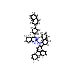 c1ccc2c(c1)-c1cccc3c1c-2cc1c3c2ccc3ccccc3c2n1-c1nc(-c2ccc(-c3ccc4ccccc4c3)cc2)c2ccccc2n1